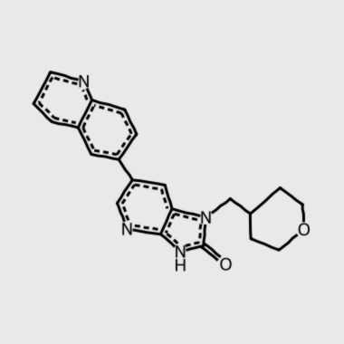 O=c1[nH]c2ncc(-c3ccc4ncccc4c3)cc2n1CC1CCOCC1